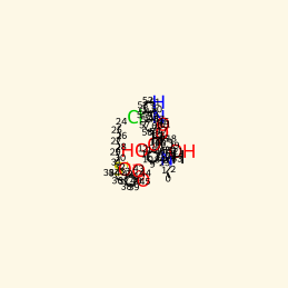 C=CCN1CC[C@]23c4c5ccc(O)c4O[C@H]2C(=O)CC[C@@]3(O)[C@H]1C5.CCCCCCCC[S+]([O-])C(C)Cc1ccc2c(c1)OCO2.CNC1(c2ccccc2Cl)CCCCC1=O